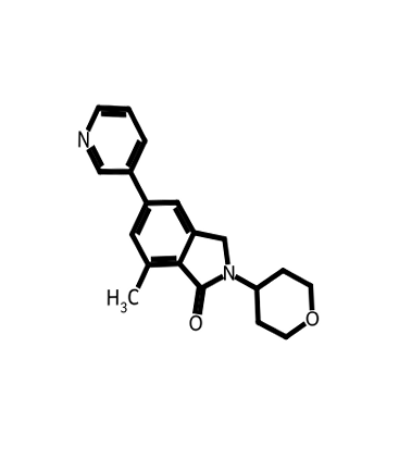 Cc1cc(-c2cccnc2)cc2c1C(=O)N(C1CCOCC1)C2